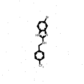 FC(F)(F)c1ccc(CNc2nc3cc(Br)ccc3[nH]2)cc1